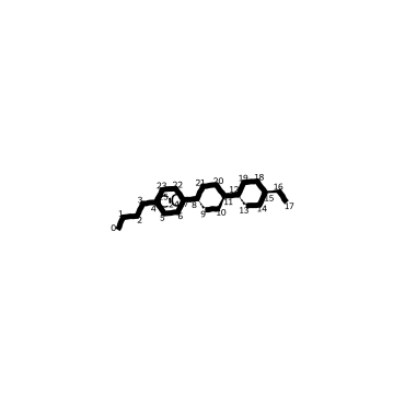 CCCCC12CCC([C@H]3CC[C@H]([C@H]4CC[C@H](CC)CC4)CC3)(CC1)CC2